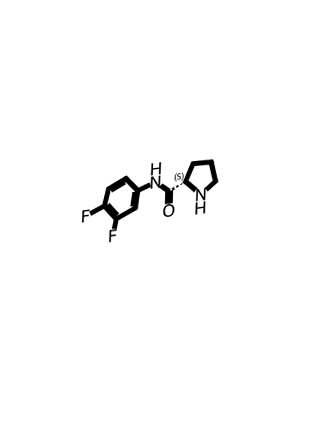 O=C(Nc1ccc(F)c(F)c1)[C@@H]1CCCN1